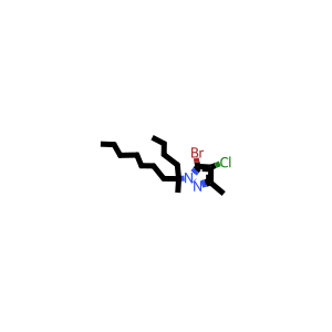 CCCCCCCC(C)(CCCC)n1nc(C)c(Cl)c1Br